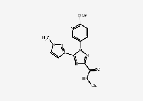 COc1ccc(-n2nc(C(=O)NC(C)(C)C)nc2-c2ccn(C)n2)cn1